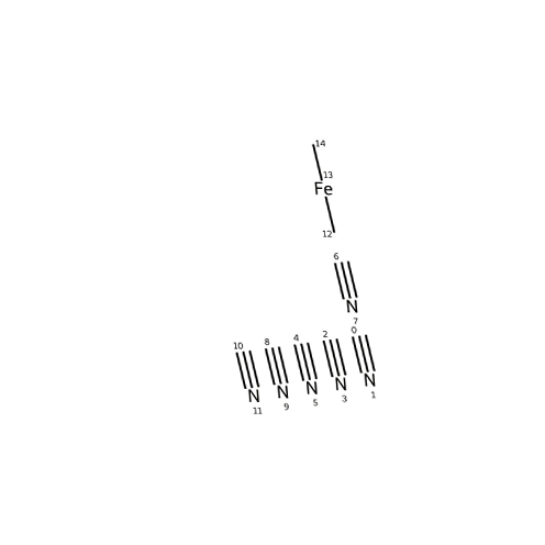 C#N.C#N.C#N.C#N.C#N.C#N.[CH3][Fe][CH3]